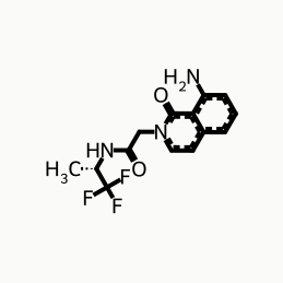 C[C@H](NC(=O)Cn1ccc2cccc(N)c2c1=O)C(F)(F)F